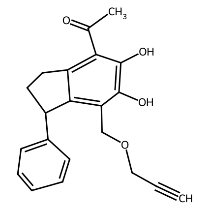 C#CCOCc1c(O)c(O)c(C(C)=O)c2c1C(c1ccccc1)CC2